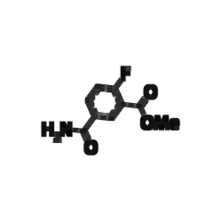 COC(=O)c1cc(C(N)=O)ccc1F